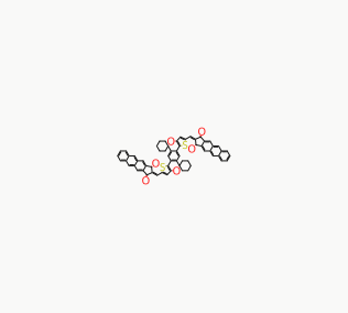 O=C1C(=Cc2cc3c(s2)-c2cc4c(cc2C2(CCCCC2)O3)-c2sc(C=C3C(=O)c5cc6cc7ccccc7cc6cc5C3=O)cc2OC42CCCCC2)C(=O)c2cc3cc4ccccc4cc3cc21